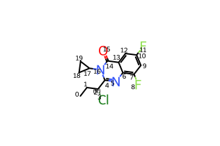 CC[C@@H](Cl)c1nc2c(F)cc(F)cc2c(=O)n1C1CC1